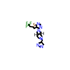 FC(F)(F)Cc1cc2c(N3C[C@H]4CCN(Cc5cncnc5)C[C@H]4C3)ncnc2s1